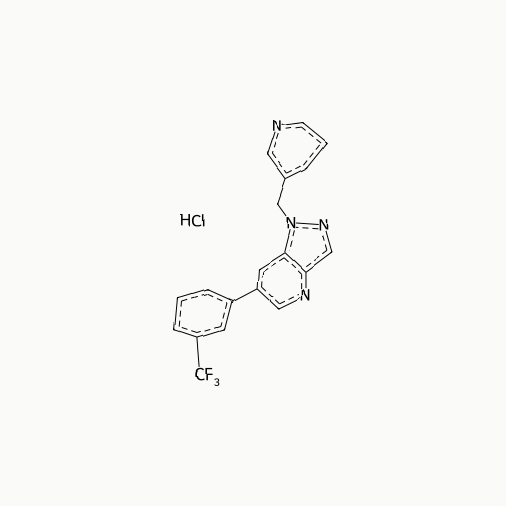 Cl.FC(F)(F)c1cccc(-c2cnc3cnn(Cc4cccnc4)c3c2)c1